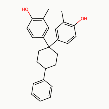 Cc1cc(C2(c3ccc(O)c(C)c3)CCC(c3ccccc3)CC2)ccc1O